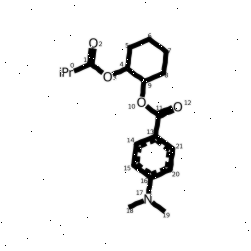 CC(C)C(=O)OC1CCCCC1OC(=O)c1ccc(N(C)C)cc1